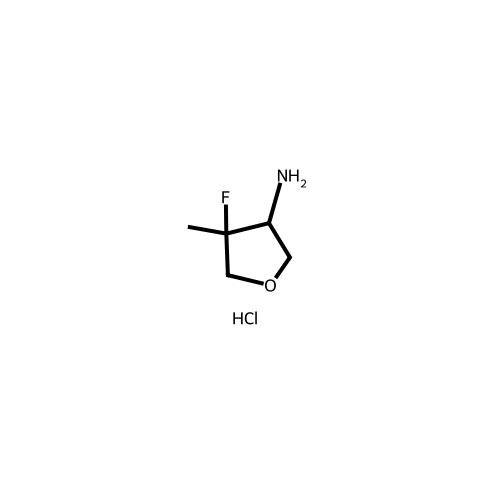 CC1(F)COCC1N.Cl